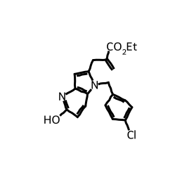 C=C(Cc1cc2nc(O)ccc2n1Cc1ccc(Cl)cc1)C(=O)OCC